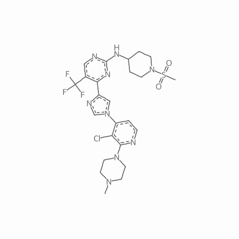 CN1CCN(c2nccc(-n3cnc(-c4nc(NC5CCN(S(C)(=O)=O)CC5)ncc4C(F)(F)F)c3)c2Cl)CC1